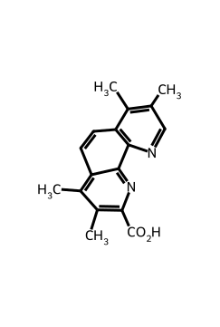 Cc1cnc2c(ccc3c(C)c(C)c(C(=O)O)nc32)c1C